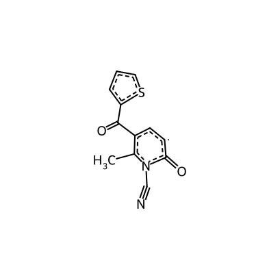 Cc1c(C(=O)c2cccs2)c[c]c(=O)n1C#N